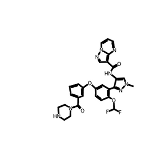 Cn1cc(NC(=O)c2cnn3cccnc23)c(-c2cc(Oc3cccc(C(=O)N4CCNCC4)c3)ccc2OC(F)F)n1